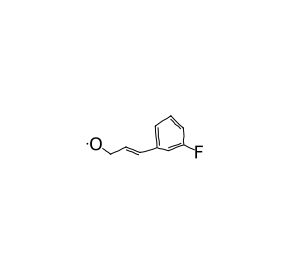 [O]CC=Cc1cccc(F)c1